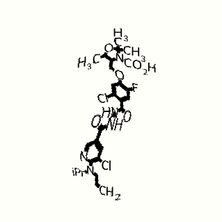 C=CCN(c1ncc(C(=O)NNC(=O)c2cc(F)c(OCC3C(C)OC(C)(C)N3C(=O)O)cc2Cl)cc1Cl)C(C)C